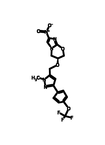 Cn1nc(-c2ccc(OC(F)(F)F)cc2)cc1CO[C@@H]1COc2nc([N+](=O)[O-])cn2C1